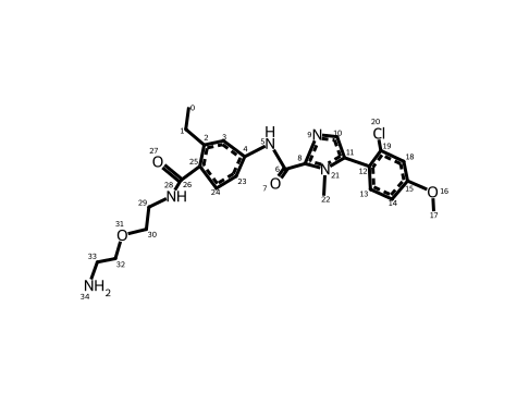 CCc1cc(NC(=O)c2ncc(-c3ccc(OC)cc3Cl)n2C)ccc1C(=O)NCCOCCN